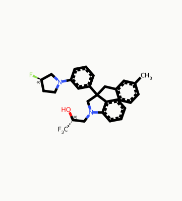 Cc1cccc(CC2(c3cccc(N4CC[C@@H](F)C4)c3)CN(C[C@@H](O)C(F)(F)F)c3ccccc32)c1